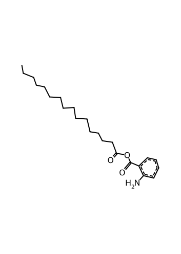 CCCCCCCCCCCCCCCC(=O)OC(=O)c1ccccc1N